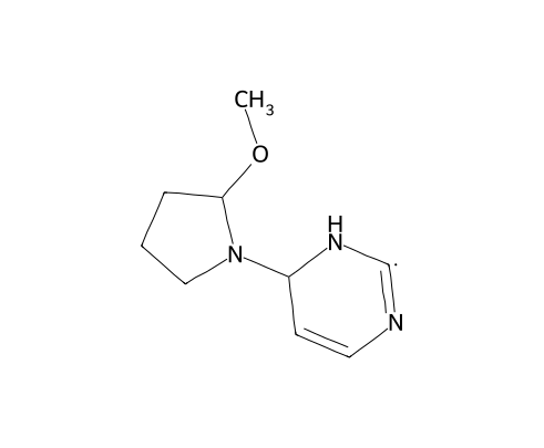 COC1CCCN1C1C=CN=[C]N1